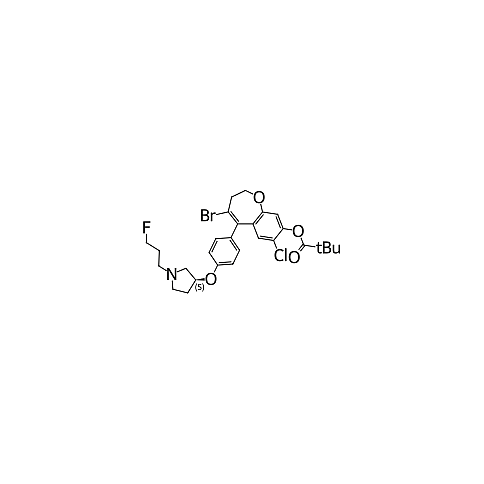 CC(C)(C)C(=O)Oc1cc2c(cc1Cl)C(c1ccc(O[C@H]3CCN(CCCF)C3)cc1)=C(Br)CCO2